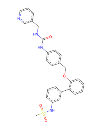 CS(=O)(=O)Nc1cccc(-c2ccccc2OCc2ccc(NC(=O)NCc3cccnc3)cc2)c1